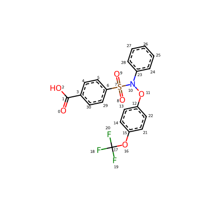 O=C(O)c1ccc(S(=O)(=O)N(Oc2ccc(OC(F)(F)F)cc2)c2ccccc2)cc1